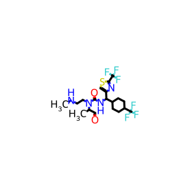 CNCCN(C(=O)NC(c1csc(C(F)(F)F)n1)C1CCC(C(F)(F)F)CC1)C(C)C=O